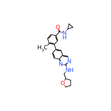 Cc1ccc(C(=O)NC2CC2)cc1-c1ccc2nc(NCC3CCCO3)ncc2c1